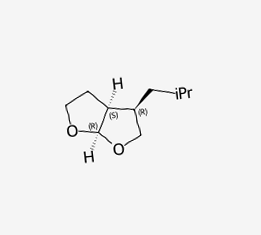 CC(C)C[C@H]1CO[C@H]2OCC[C@@H]12